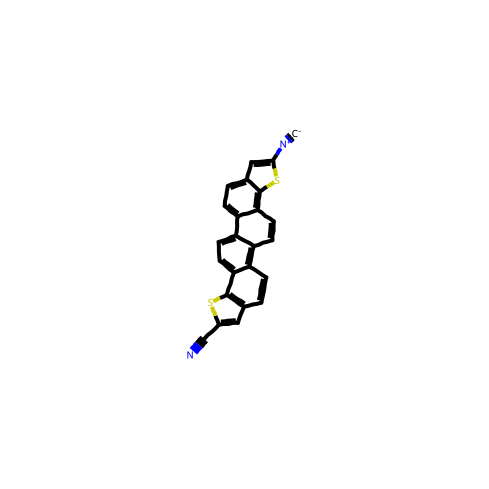 [C-]#[N+]c1cc2ccc3c4ccc5c(ccc6cc(C#N)sc65)c4ccc3c2s1